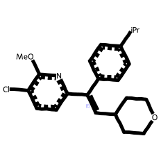 COc1nc(/C(=C/C2CCOCC2)c2ccc(C(C)C)cc2)ccc1Cl